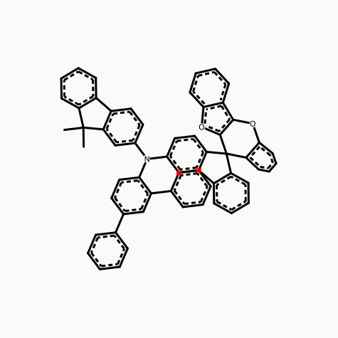 CC1(C)c2ccccc2-c2ccc(N(c3ccc4c(c3)-c3ccccc3C43c4ccccc4Oc4c3oc3ccccc43)c3ccc(-c4ccccc4)cc3-c3ccccc3)cc21